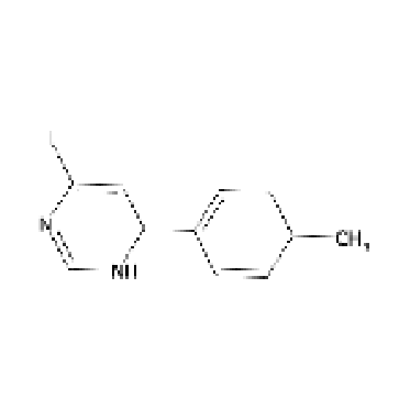 CC1C=CC(C2C=C(I)N=CN2)=CC1